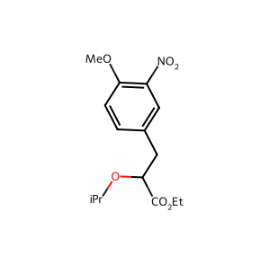 CCOC(=O)C(Cc1ccc(OC)c([N+](=O)[O-])c1)OC(C)C